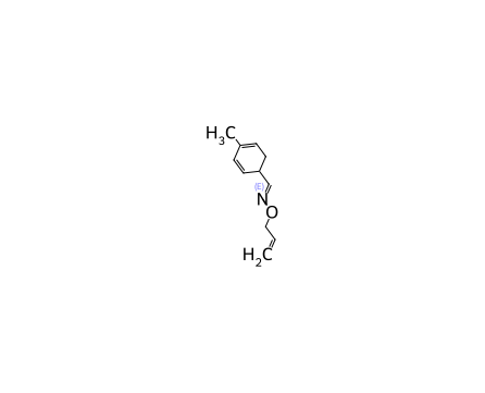 C=CCO/N=C/C1C=CC(C)=CC1